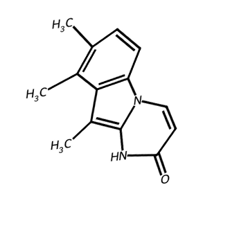 Cc1ccc2c(c1C)c(C)c1[nH]c(=O)ccn12